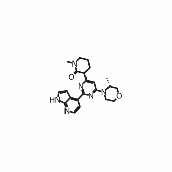 C[C@@H]1COCCN1c1cc(C2CCCN(C)C2=O)nc(-c2ccnc3[nH]ccc23)n1